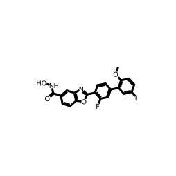 COc1ccc(F)cc1-c1ccc(-c2nc3cc(C(=O)NO)ccc3o2)c(F)c1